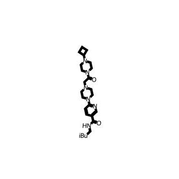 CCC(C)CNC(=O)c1ccc(N2CCN(CC(=O)N3CCN(C4CCC4)CC3)CC2)nc1